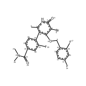 Cc1[nH]c(=O)c(Br)c(OCc2ccc(F)cc2F)c1-c1ccc(C(=O)N(C)C)cc1F